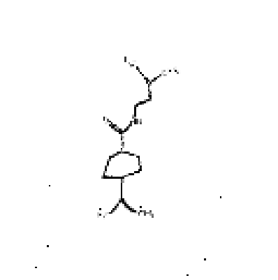 CC(C)C1CCN(C(=O)NCCN(C)C)CC1